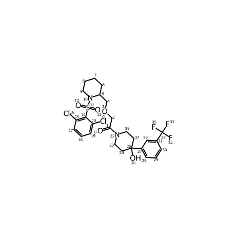 O=C(COCC1CCCCN1S(=O)(=O)c1c(Cl)cccc1Cl)N1CCC(O)(c2cccc(C(F)(F)F)c2)CC1